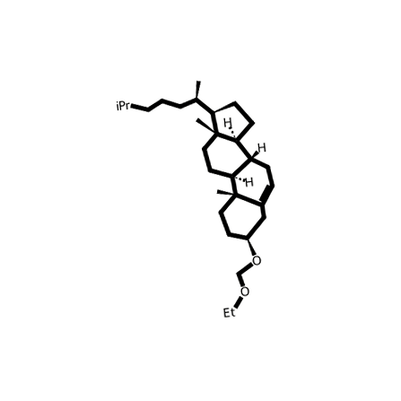 CCOCO[C@H]1CC[C@@]2(C)C(=CC[C@H]3[C@@H]4CC[C@H]([C@H](C)CCCC(C)C)[C@@]4(C)CC[C@@H]32)C1